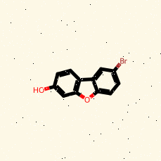 Oc1ccc2c(c1)oc1ccc(Br)cc12